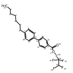 CCCCCCCc1ccc(-c2ccc(C(=O)OCC(F)(F)C(F)F)cc2)cc1